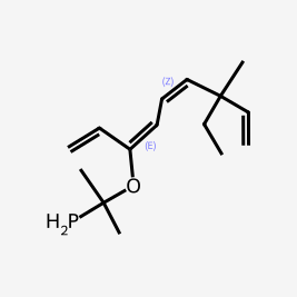 C=C/C(=C\C=C/C(C)(C=C)CC)OC(C)(C)P